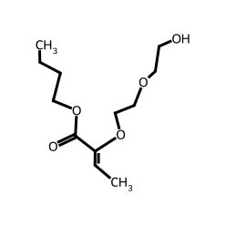 CC=C(OCCOCCO)C(=O)OCCCC